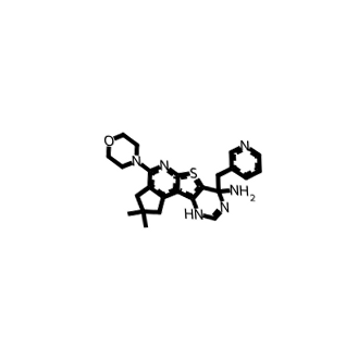 CC1(C)Cc2c(N3CCOCC3)nc3sc4c(c3c2C1)NC=NC4(N)Cc1cccnc1